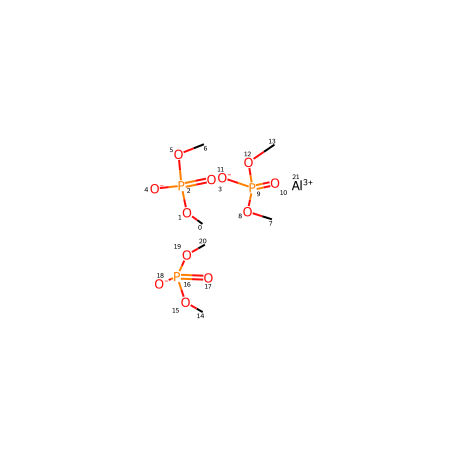 COP(=O)([O-])OC.COP(=O)([O-])OC.COP(=O)([O-])OC.[Al+3]